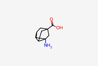 NC12CC3CC1CC(C(=O)O)(C3)C2